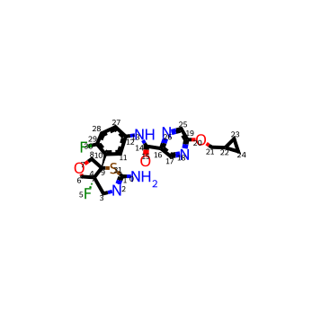 NC1=NC[C@@]2(F)COC[C@]2(c2cc(NC(=O)c3cnc(OCC4CC4)cn3)ccc2F)S1